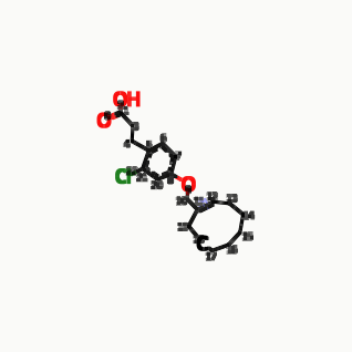 O=C(O)CCc1ccc(OC/C2=C/CCCCCCC2)cc1Cl